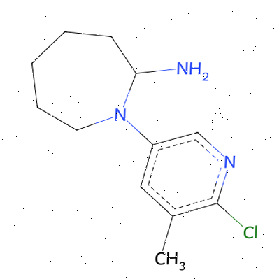 Cc1cc(N2CCCCCC2N)cnc1Cl